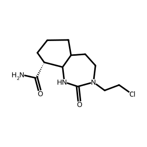 NC(=O)[C@@H]1CCCC2CCN(CCCl)C(=O)NC21